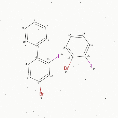 Brc1ccc(-c2ccccc2)c(I)c1.Brc1ccccc1I